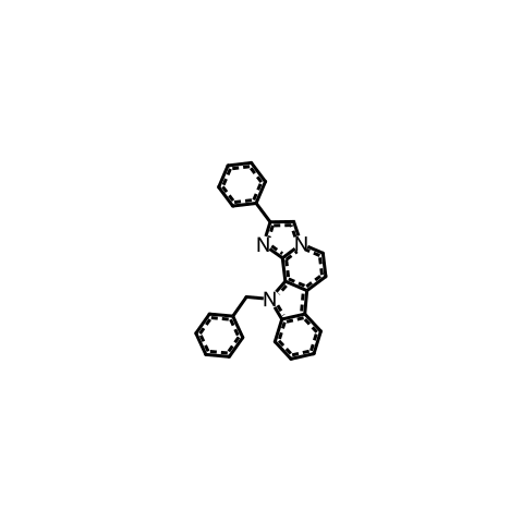 c1ccc(Cn2c3ccccc3c3ccn4cc(-c5ccccc5)nc4c32)cc1